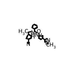 C[C@H](CN[C@H](C(=O)Nc1ccc(-c2cnn(C)c2)cn1)c1ccccc1)c1ccc(C#N)cc1F